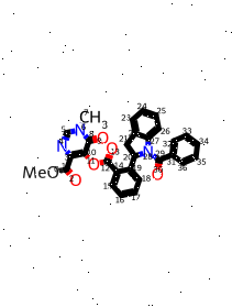 COC(=O)c1ncn(C)c(=O)c1OC(=O)c1ccccc1C1Cc2ccccc2N1C(=O)c1ccccc1